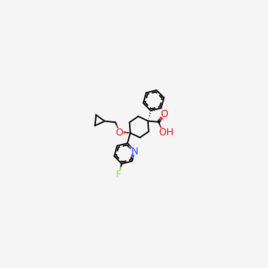 O=C(O)[C@]1(c2ccccc2)CC[C@@](OCC2CC2)(c2ccc(F)cn2)CC1